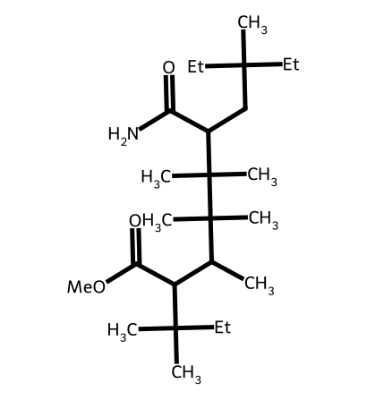 CCC(C)(CC)CC(C(N)=O)C(C)(C)C(C)(C)C(C)C(C(=O)OC)C(C)(C)CC